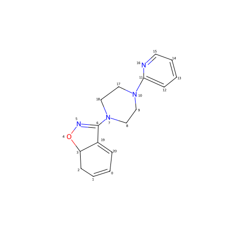 C1=CCC2ON=C(N3CCN(c4ccccn4)CC3)C2=C1